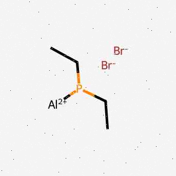 CC[P]([Al+2])CC.[Br-].[Br-]